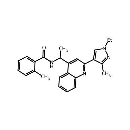 CCn1cc(-c2cc(C(C)NC(=O)c3ccccc3C)c3ccccc3n2)c(C)n1